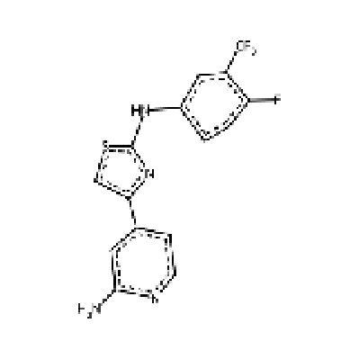 Nc1cc(-c2csc(Nc3ccc(F)c(C(F)(F)F)c3)n2)ccn1